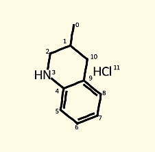 CC1CNc2ccccc2C1.Cl